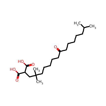 CC(C)CCCCCC(=O)CCCCCC(C)(C)CC(C(=O)O)C(=O)O